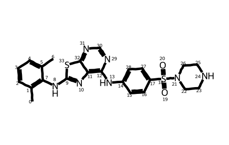 Cc1cccc(C)c1Nc1nc2c(Nc3ccc(S(=O)(=O)N4CCNCC4)cc3)ncnc2s1